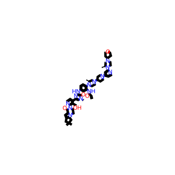 C=CC(=O)Nc1cc(Nc2nc(-c3ccnc(N4CCn5c(cc6c5CC(C)(C)C6)C4=O)c3CO)cn(C)c2=O)ccc1N1CCN(C2CCN(c3ccnc(N4CCN(C5CCOCC5)C[C@@H]4C)c3)CC2)C[C@@H]1C